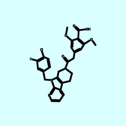 COc1cc(CC(=O)N2CCc3c(n(Cc4ccc(Cl)c(F)c4)c4ncccc34)C2)cc(OC)c1C(=O)O